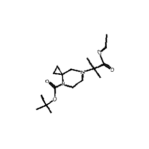 CCOC(=O)C(C)(C)N1CCN(C(=O)OC(C)(C)C)C2(CC2)C1